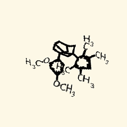 COc1ccc(C23CC4CC(C2)CC(c2c(C)c(C)cc(C)c2C)(C4)C3)c(OC)c1